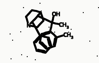 Cc1ccccc1C(C)(O)C1C2CCN(CC2)C1c1ccccc1